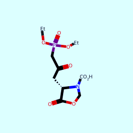 CCOP(=O)(CC(=O)C[C@H]1C(=O)OCN1C(=O)O)OCC